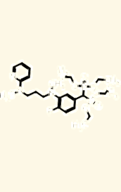 CCOP(=O)(OCC)C(c1ccc(F)c(N(C)CCCN(C)c2ccccn2)c1)P(=O)(OCC)OCC